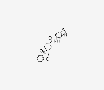 O=C(Nc1ccc2scnc2c1)C1CCN(S(=O)(=O)c2ccccc2Cl)CC1